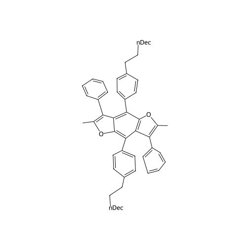 CCCCCCCCCCCCc1ccc(-c2c3oc(C)c(-c4ccccc4)c3c(-c3ccc(CCCCCCCCCCCC)cc3)c3oc(C)c(-c4ccccc4)c23)cc1